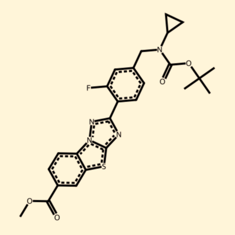 COC(=O)c1ccc2c(c1)sc1nc(-c3ccc(CN(C(=O)OC(C)(C)C)C4CC4)cc3F)nn12